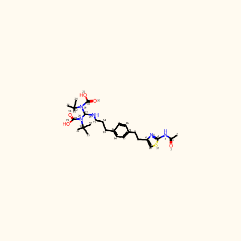 CC(=O)Nc1nc(CCc2ccc(CCCNC(N(C(=O)O)C(C)(C)C)N(C(=O)O)C(C)(C)C)cc2)cs1